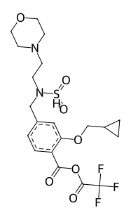 O=C(OC(=O)C(F)(F)F)c1ccc(CN(CCN2CCOCC2)[SH](=O)=O)cc1OCC1CC1